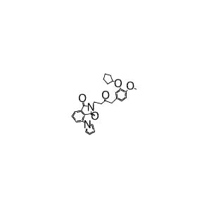 COc1ccc(CC(=O)CCN2C(=O)c3cccc(-n4cccc4)c3C2=O)cc1OC1CCCC1